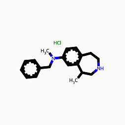 CC1CNCCc2ccc(N(C)Cc3ccccc3)cc21.Cl